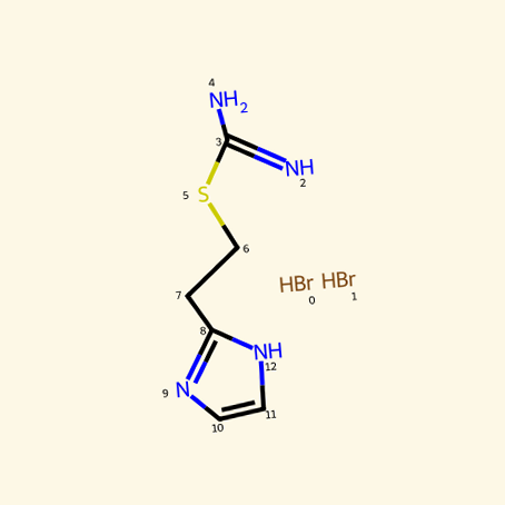 Br.Br.N=C(N)SCCc1ncc[nH]1